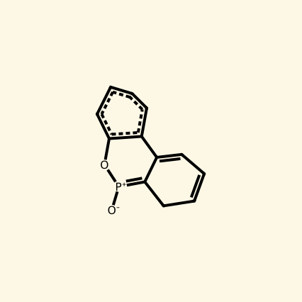 [O-][P+]1=C2CC=CC=C2c2ccccc2O1